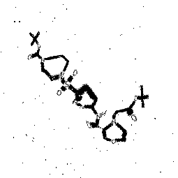 CC(C)(C)OC(=O)CN1CCOC[C@@H]1C(=O)Nc1ccc(S(=O)(=O)N2CCN(C(=O)OC(C)(C)C)CC2)nn1